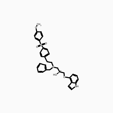 COc1ccc(S(=O)(=O)c2ccc(CCN(Cc3ccccc3)C[C@H](O)COc3cccc4[nH]ccc34)cc2)cc1